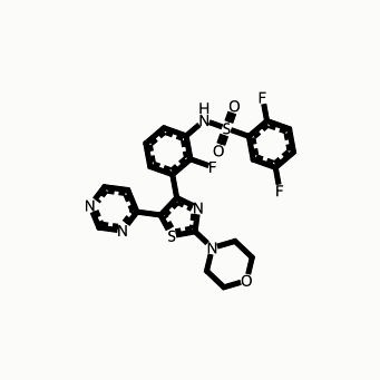 O=S(=O)(Nc1cccc(-c2nc(N3CCOCC3)sc2-c2ccncn2)c1F)c1cc(F)ccc1F